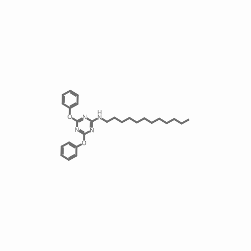 CCCCCCCCCCCCNc1nc(Oc2ccccc2)nc(Oc2ccccc2)n1